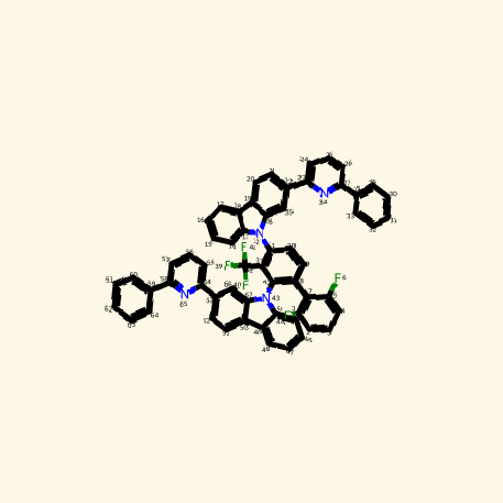 Fc1cccc(F)c1-c1ccc(-n2c3ccccc3c3ccc(-c4cccc(-c5ccccc5)n4)cc32)c(C(F)(F)F)c1-n1c2ccccc2c2ccc(-c3cccc(-c4ccccc4)n3)cc21